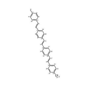 Cc1ccc(/C=C/c2ccc(/C=C/c3ccc(/C=C/c4ccc(C(F)(F)F)cc4)cc3)cc2)cc1